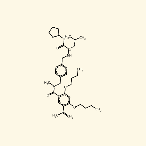 C=C(C)c1cc(C(=O)N(C)Cc2ccc(CN[C@@H](CC(C)C)C(=O)OC3CCCC3)cc2)c(OCCCC)cc1OCCCC